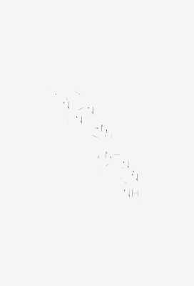 C[C@@H](NC(=O)c1cc(N)ncn1)c1cc(-c2nc3ccc(C4(C)CC4)nc3[nH]2)no1